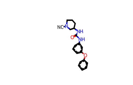 N#CN1CCCC(NC(=O)Nc2cccc(Oc3ccccc3)c2)C1